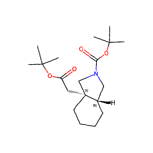 CC(C)(C)OC(=O)C[C@@]12CCCC[C@H]1CN(C(=O)OC(C)(C)C)C2